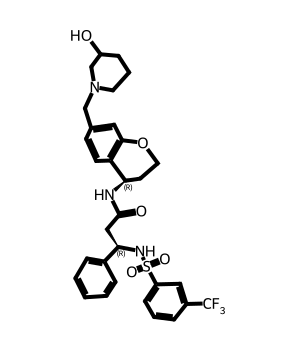 O=C(C[C@@H](NS(=O)(=O)c1cccc(C(F)(F)F)c1)c1ccccc1)N[C@@H]1CCOc2cc(CN3CCCC(O)C3)ccc21